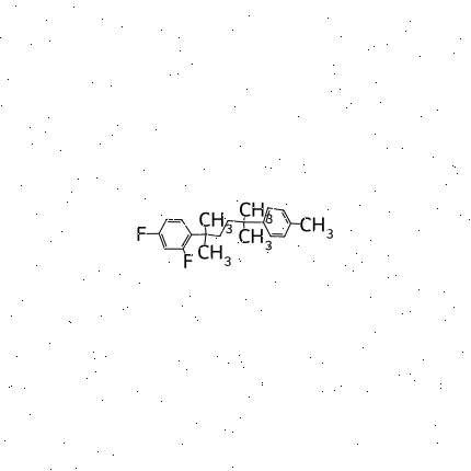 Cc1ccc(C(C)(C)CCC(C)(C)c2ccc(F)cc2F)cc1